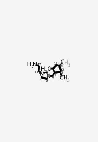 Cc1cc(C)c(CN2C=CN(CCN)C2)c(C)c1